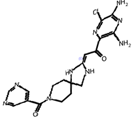 Nc1nc(N)c(C(=O)/C=C2\NCC3(CCN(C(=O)c4cncnc4)CC3)N2)nc1Cl